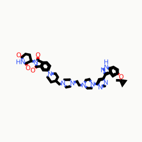 CC1(Oc2ccc3[nH]nc(-c4cc(N5CCN(CCN6CCN(CC7CCN(c8ccc9c(c8)C(=O)N(C8CCC(=O)NC8=O)C9=O)CC7)CC6)CC5)ncn4)c3c2)CC1